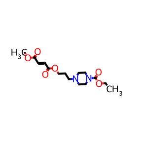 CCOC(=O)N1CCN(CCCOC(=O)/C=C/C(=O)OC)CC1